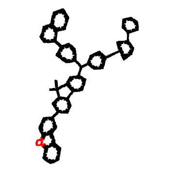 CC1(C)c2cc(-c3ccc4oc5ccccc5c4c3)ccc2-c2ccc(C(c3ccc(-c4cccc(-c5ccccc5)c4)cc3)c3ccc(-c4cccc5ccccc45)cc3)cc21